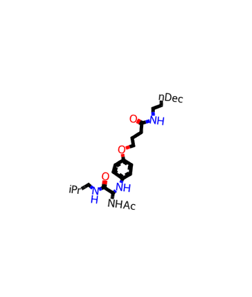 CCCCCCCCCCCCNC(=O)CCCOc1ccc(NC(NC(C)=O)C(=O)NCC(C)C)cc1